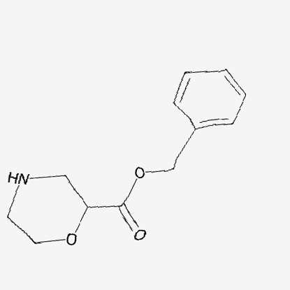 O=C(OCc1ccccc1)C1CNCCO1